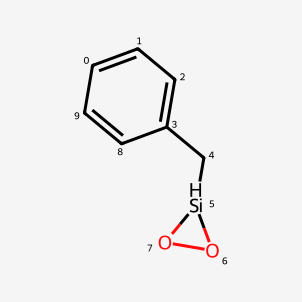 c1ccc(C[SiH]2OO2)cc1